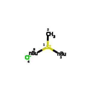 CCCC[S+](C)CCCC.[Cl-]